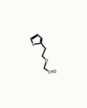 O=CCOCCc1cccs1